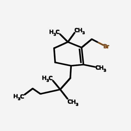 CCCC(C)(C)CC1CCC(C)(C)C(CBr)=C1C